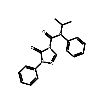 CC(C)N(C(=O)n1cnn(-c2ccccc2)c1=O)c1ccccc1